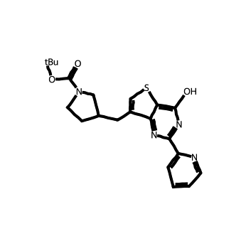 CC(C)(C)OC(=O)N1CCC(Cc2csc3c(O)nc(-c4ccccn4)nc23)C1